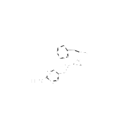 CCC(=Cc1ccccc1)[C@@H]1C[C@H]1NCc1cnc(N)nc1